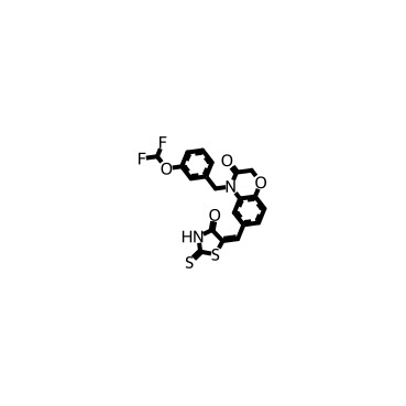 O=C1NC(=S)SC1=Cc1ccc2c(c1)N(Cc1cccc(OC(F)F)c1)C(=O)CO2